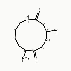 CNC1CCCCNC(=O)CC(C(C)=O)NCC1=O